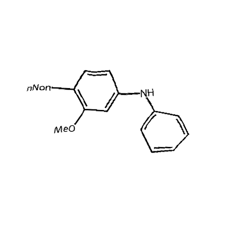 CCCCCCCCCc1ccc(Nc2ccccc2)cc1OC